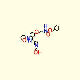 O=C(NCCCOc1ccc2c(c1)c(-c1ccn(CCO)c1)nn2C1CCCCO1)OCc1ccccc1